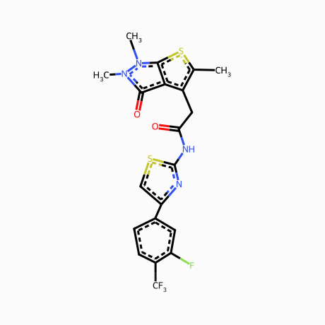 Cc1sc2c(c1CC(=O)Nc1nc(-c3ccc(C(F)(F)F)c(F)c3)cs1)c(=O)n(C)n2C